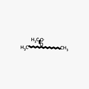 CCCCCCCCCCC(CCCCCCC)OCC(C)[O]